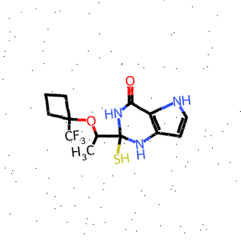 CC(OC1(C(F)(F)F)CCC1)C1(S)NC(=O)c2[nH]ccc2N1